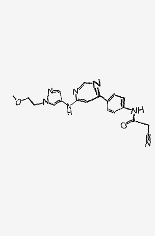 COCCn1cc(Nc2cc(-c3ccc(NC(=O)CC#N)cc3)ncn2)cn1